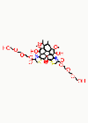 COc1c(O)c2c3c(c(OC)c4c5c(OC)c6c(c7c(O)c(OC)c8c(c(c1CC(C)=C8C(C)=O)c24)c75)=NC(C(=O)OCCOCCOCCO)CS6)SCC(C(=O)OCCOCCOCCO)N=3